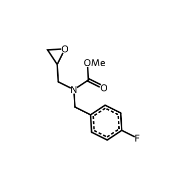 COC(=O)N(Cc1ccc(F)cc1)CC1CO1